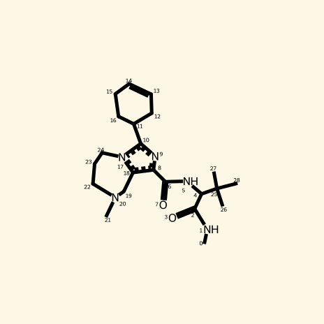 CNC(=O)C(NC(=O)c1nc(C2CC=CCC2)n2c1CN(C)CCC2)C(C)(C)C